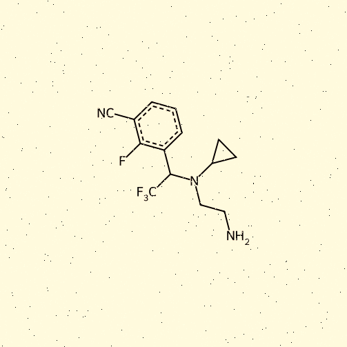 N#Cc1cccc(C(N(CCN)C2CC2)C(F)(F)F)c1F